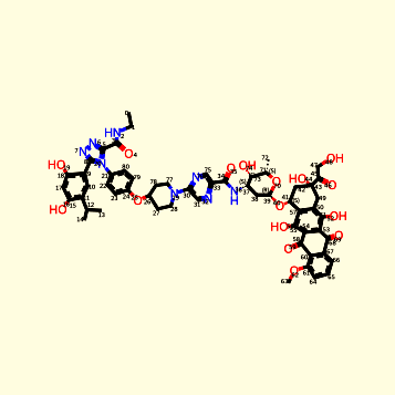 CCNC(=O)c1nnc(-c2cc(C(C)C)c(O)cc2O)n1-c1ccc(OC2CCN(c3cnc(C(=O)N[C@H]4C[C@H](O[C@H]5C[C@](O)(C(=O)CO)Cc6c(O)c7c(c(O)c65)C(=O)c5c(OC)cccc5C7=O)O[C@@H](C)[C@H]4O)cn3)CC2)cc1